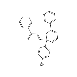 O=C(C=CC1(c2ccc(O)cc2)C=CC=C(c2cccnc2)C1)c1ccccc1